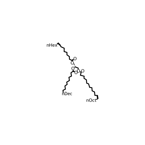 CCCCCC/C=C\CCCCCCCC(=O)OC[C@H](COC(=O)CCCCCCCCCCC/C=C\CCCCCCCC)OC(=O)CCCCCCCCCCCCCCCCCCC